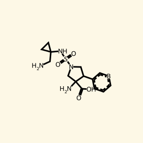 NCC1(NS(=O)(=O)N2CC(c3cbccc3)C(N)(C(=O)O)C2)CC1